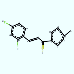 Cc1ccc(C(=S)C=Cc2ccc(F)cc2F)cc1